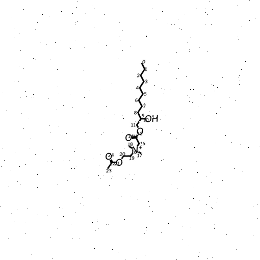 CCCCCCCCCC(O)COC(=O)C[N+](C)(C)CCOC(C)=O